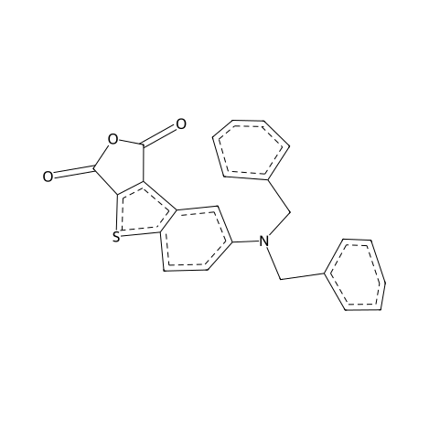 O=C1OC(=O)c2c1sc1ccc(N(Cc3ccccc3)Cc3ccccc3)cc21